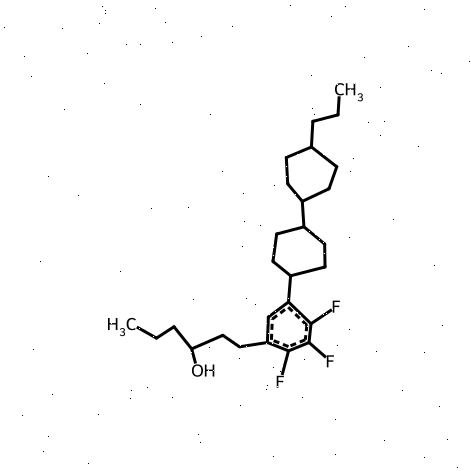 CCCC(O)CCc1cc(C2CCC(C3CCC(CCC)CC3)CC2)c(F)c(F)c1F